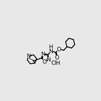 Cl.O=C(Nc1noc(C2CN3CCC2CC3)n1)OCC1CCCCC1